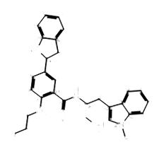 CCCOc1ccc(C2Cc3ccccc3O2)cc1C(=O)N[C@@H](CO)Cc1cn(C)c2ccccc12